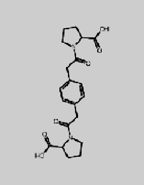 O=C(O)[C@@H]1CCCN1C(=O)Cc1ccc(CC(=O)N2CCC[C@H]2C(=O)O)cc1